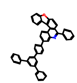 c1ccc(-c2cc(-c3ccccc3)cc(-c3ccc(-c4ccc5c(c4)nc(-c4ccccc4)c4ccc6oc7ccccc7c6c45)cc3)c2)cc1